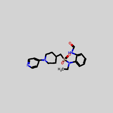 CCN(c1ccccc1NC=O)S(=O)(=O)CC1CCN(c2ccncc2)CC1